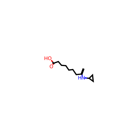 C=C(CCCCCCC(=O)O)NC1CC1